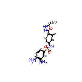 CC(C)(C)c1nnc(C2CCC(NS(=O)(=O)c3ccc(N)c(N)c3)CC2)o1